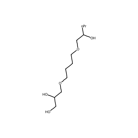 CCCC(O)COCCCCOCC(O)CO